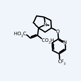 CN1C2CCC1(/C(=C\C(=O)O)C(=O)O)CC(Oc1ccc(C(F)(F)F)cn1)C2